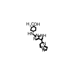 C[C@]1(O)CC[C@@H](Nc2ncc3c(-c4ccn5nccc5n4)c[nH]c3n2)CC1